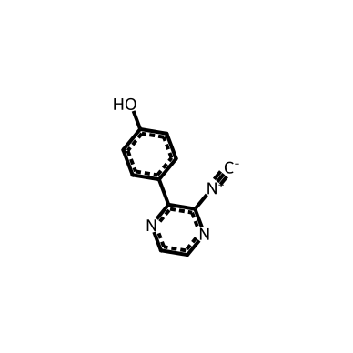 [C-]#[N+]c1nccnc1-c1ccc(O)cc1